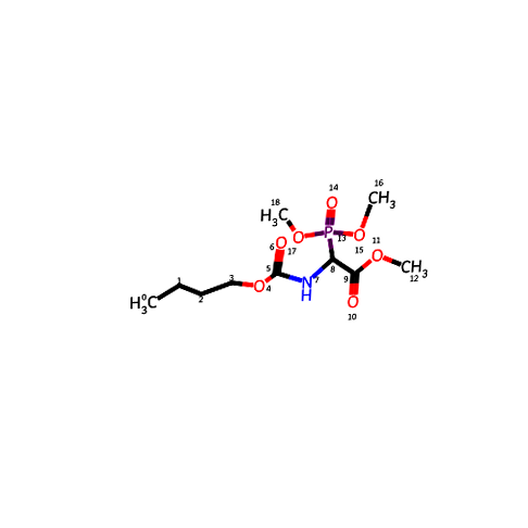 CCCCOC(=O)NC(C(=O)OC)P(=O)(OC)OC